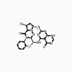 C[C@H](Nc1nc(N)nc2[nH]cnc(=O)c12)c1nn2ccc(Cl)c2c(=O)n1-c1ccccc1